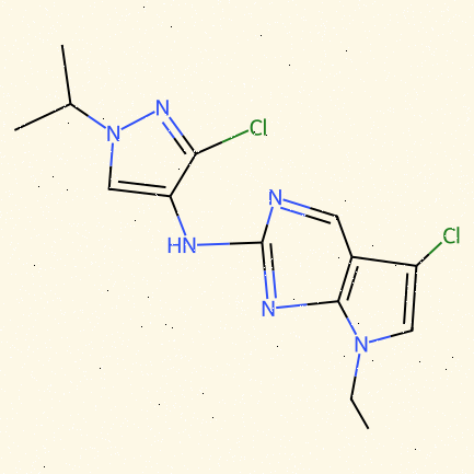 CCn1cc(Cl)c2cnc(Nc3cn(C(C)C)nc3Cl)nc21